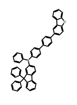 c1ccc(N(c2ccc(-c3ccc(-c4ccc5oc6ccccc6c5c4)cc3)cc2)c2ccc3c(c2)C(c2ccccc2)(c2ccccc2)c2ccccc2-3)cc1